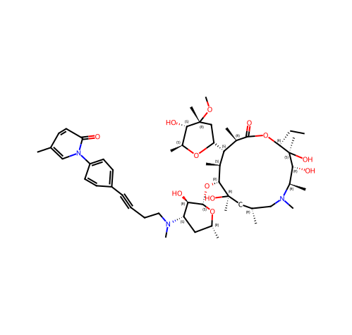 CC[C@H]1OC(=O)[C@H](C)[C@@H](C2C[C@@](C)(OC)[C@@H](O)[C@H](C)O2)[C@H](C)[C@@H](O[C@@H]2O[C@H](C)C[C@H](N(C)CCC#Cc3ccc(-n4cc(C)ccc4=O)cc3)[C@H]2O)[C@](C)(O)C[C@@H](C)CN(C)[C@H](C)[C@@H](O)[C@]1(C)O